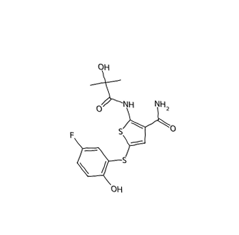 CC(C)(O)C(=O)Nc1sc(Sc2cc(F)ccc2O)cc1C(N)=O